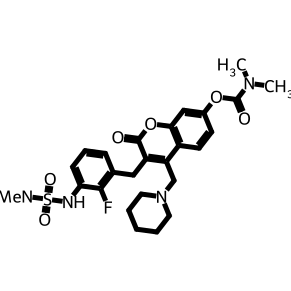 CNS(=O)(=O)Nc1cccc(Cc2c(CN3CCCCC3)c3ccc(OC(=O)N(C)C)cc3oc2=O)c1F